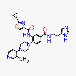 Cc1cnccc1N1CCN(c2ccc(C(=O)NCCc3cnc[nH]3)cc2NC(=O)c2coc(C3CC3)n2)CC1